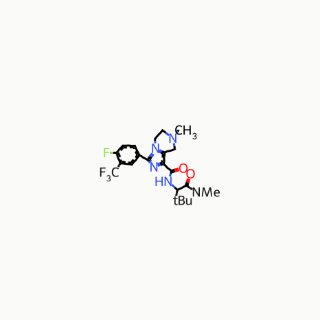 CNC(=O)C(NC(=O)c1nc(-c2ccc(F)c(C(F)(F)F)c2)n2c1CN(C)CC2)C(C)(C)C